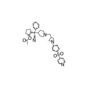 CC(=O)O[C@@H]1CCC[C@H]1C(C#N)(c1ccccc1)C1CCN(CC2CN(c3ccc(S(=O)(=O)c4ccncc4)cc3)C2)CC1